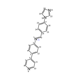 C(=N\c1ccc(-c2ccncc2)cc1)/c1ccc(-n2ccnc2)cc1